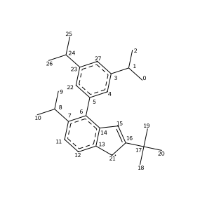 CC(C)c1cc(-c2c(C(C)C)ccc3c2C=C(C(C)(C)C)[CH]3)cc(C(C)C)c1